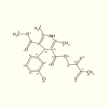 COC(=O)C1=C(C)NC(C)=C(C(=O)OCC(=S)C(C)=O)C1c1cccc(Cl)c1